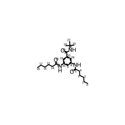 CCCCCC(=O)Nc1cc(NC(=O)CCCCC)cc(C(=O)NC(C)(C)C)c1